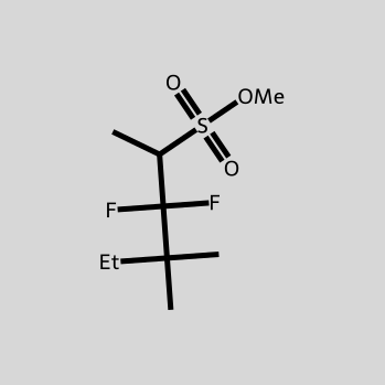 CCC(C)(C)C(F)(F)C(C)S(=O)(=O)OC